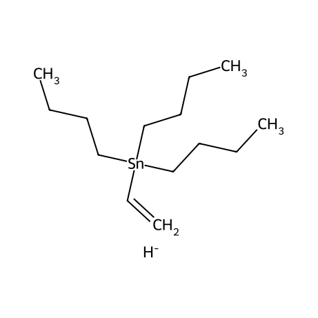 C=[CH][Sn]([CH2]CCC)([CH2]CCC)[CH2]CCC.[H-]